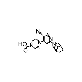 C[C@@H]1CN(C(=O)O)CCN1c1cc(N2CC3CCC(C2)O3)nnc1C#N